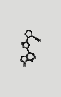 N#C[C@@H]1CCC[C@@H]1n1cc(-c2cnnc3[nH]ccc23)cn1